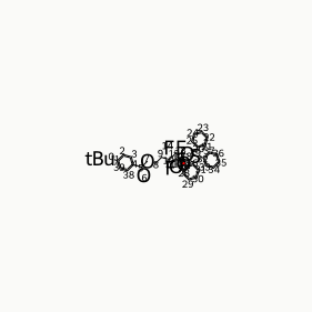 CC(C)(C)c1ccc(C(=O)OCCC(F)C(F)(F)S(=O)(=O)OS(c2ccccc2)(c2ccccc2)c2ccccc2)cc1